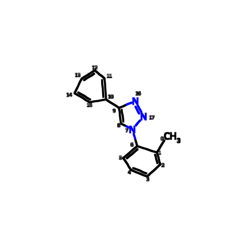 Cc1ccccc1-n1cc(-c2ccccc2)nn1